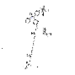 CC/C(=C(/c1ccc(OCCNCCCCCCCCC[S+]([O-])CCCC(F)(F)C(F)(F)F)cc1)c1ccc(OP(=O)(O)O)cc1)c1ccccc1.CCOC(N)=O